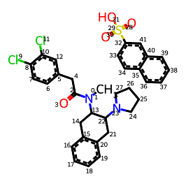 CN(C(=O)Cc1ccc(Cl)c(Cl)c1)C1Cc2ccccc2CC1N1CCCC1.O=S(=O)(O)c1ccc2ccccc2c1